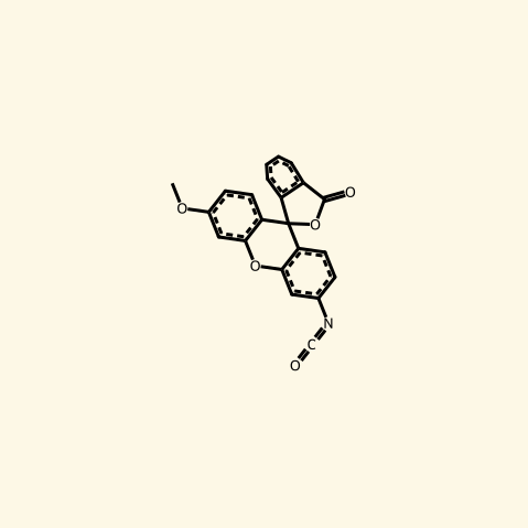 COc1ccc2c(c1)Oc1cc(N=C=O)ccc1C21OC(=O)c2ccccc21